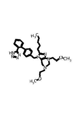 CCCCCc1nc2c(n1Cc1ccc(-c3ccccc3-c3nnn[nH]3)cc1)CN(CCOC)CN2CCOC